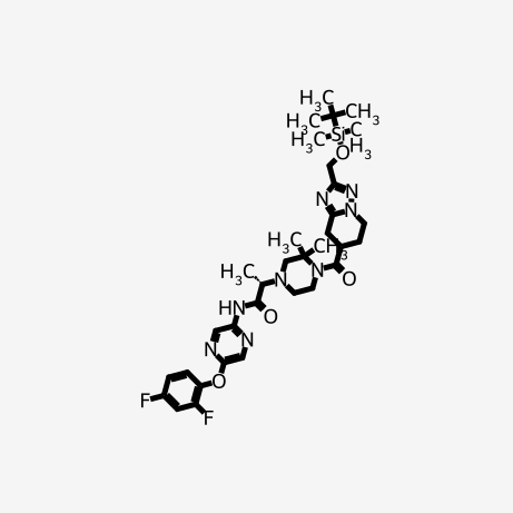 C[C@@H](C(=O)Nc1cnc(Oc2ccc(F)cc2F)cn1)N1CCN(C(=O)C2CCn3nc(CO[Si](C)(C)C(C)(C)C)nc3C2)C(C)(C)C1